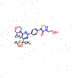 C[C@H]1COCCN1c1cc(C(C)(C)O)nc(-c2ccc(N(S)C(=O)NCCO)cc2)n1